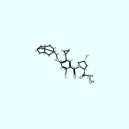 O=C(NO)[C@@H]1C[C@@H](F)CN1C(=O)c1cc(C2CC2)c(OCC23CCC4CC(CC4C2)C3)cc1F